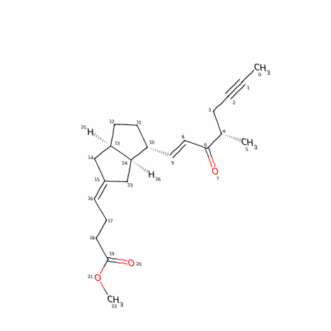 CC#CC[C@H](C)C(=O)/C=C/[C@H]1CC[C@@H]2C/C(=C/CCC(=O)OC)C[C@@H]21